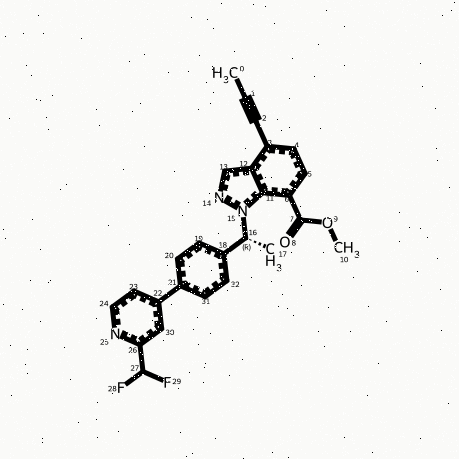 CC#Cc1ccc(C(=O)OC)c2c1cnn2[C@H](C)c1ccc(-c2ccnc(C(F)F)c2)cc1